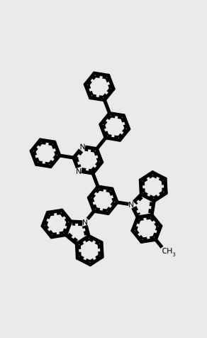 Cc1ccc2c(c1)c1ccccc1n2-c1cc(-c2cc(-c3cccc(-c4ccccc4)c3)nc(-c3ccccc3)n2)cc(-n2c3ccccc3c3ccccc32)c1